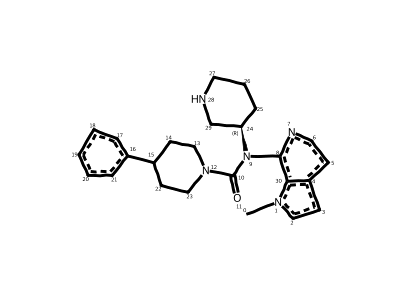 Cn1ccc2ccnc(N(C(=O)N3CCC(c4ccccc4)CC3)[C@@H]3CCCNC3)c21